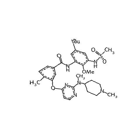 COc1c(NC(=O)c2ccc(C)c(Oc3ccnc(N(C)C4CCN(C)CC4)n3)c2)cc(C(C)(C)C)cc1NS(C)(=O)=O